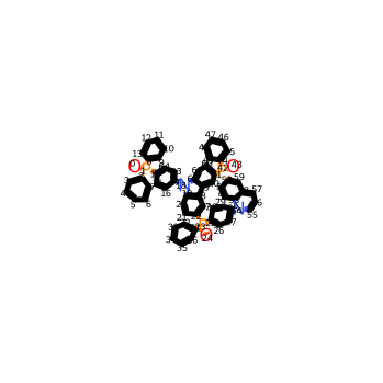 O=P(c1ccccc1)(c1ccccc1)c1ccc(-n2c3ccc(P(=O)(c4ccccc4)c4ccccc4)cc3c3cc(P(=O)(c4ccccc4)c4ccc5ncccc5c4)ccc32)cc1